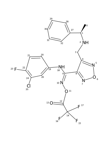 C[C@@H](NCc1nonc1C(=NOC(=O)C(F)(F)F)Nc1ccc(F)c(Cl)c1)c1ccccc1